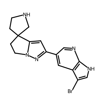 Brc1c[nH]c2ncc(-c3cc4n(n3)CCC43CCNC3)cc12